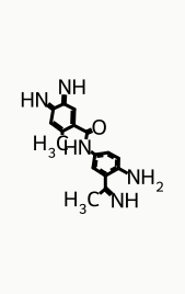 CC(=N)c1cc(NC(=O)C2=CC(=N)C(=N)C=C2C)ccc1N